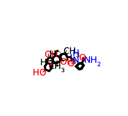 C[C@H](CCC(=O)Nc1ccccc1C(N)=O)[C@H]1CC[C@H]2[C@@H]3[C@H](O)C[C@@H]4C[C@H](O)CC[C@]4(C)[C@H]3C[C@H](O)[C@]12C